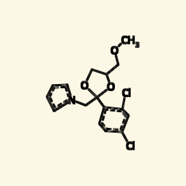 COCC1COC(Cn2cccc2)(c2ccc(Cl)cc2Cl)O1